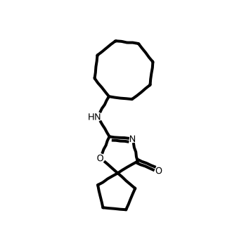 O=C1N=C(NC2CCCCCCC2)OC12CCCC2